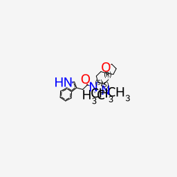 CN(C)[C@H]1C[C@]2(CCCO2)CC[C@@H]1N(C)C(=O)Cc1c[nH]c2ccccc12